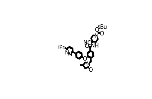 CC1CC(=O)N(Cc2ccc(C(=O)NC3(C#N)CCN(C(=O)OC(C)(C)C)CC3)cc2Oc2ccc(-c3ccc(C(C)C)nn3)cc2)C1